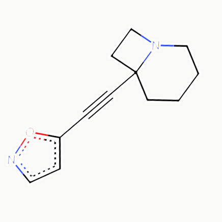 C(#CC12CCCCN1CC2)c1ccno1